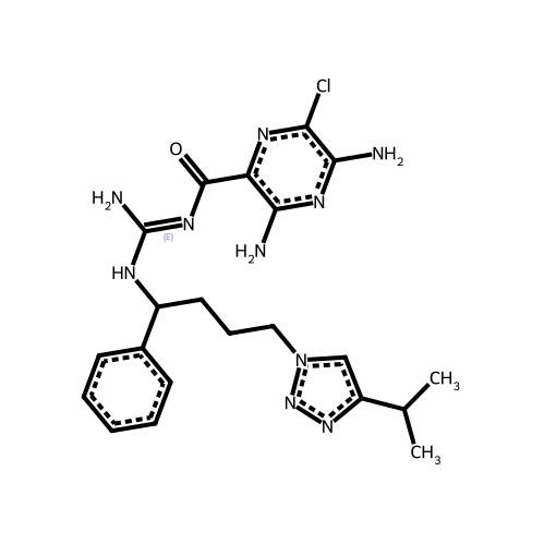 CC(C)c1cn(CCCC(N/C(N)=N/C(=O)c2nc(Cl)c(N)nc2N)c2ccccc2)nn1